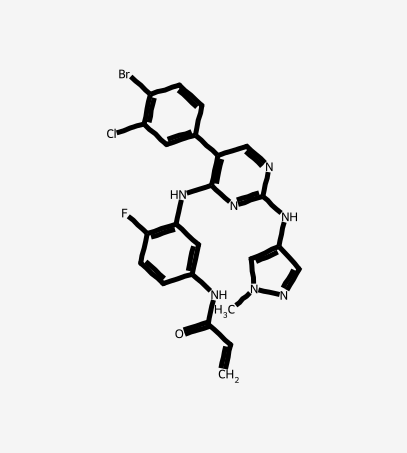 C=CC(=O)Nc1ccc(F)c(Nc2nc(Nc3cnn(C)c3)ncc2-c2ccc(Br)c(Cl)c2)c1